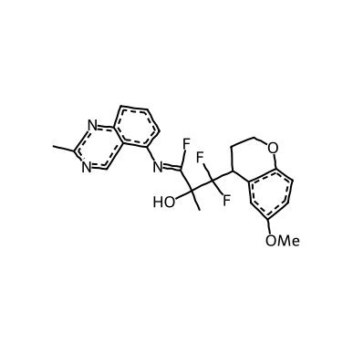 COc1ccc2c(c1)C(C(F)(F)C(C)(O)C(F)=Nc1cccc3nc(C)ncc13)CCO2